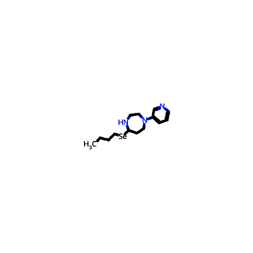 CCCC[Se]C1CCN(c2cccnc2)CCN1